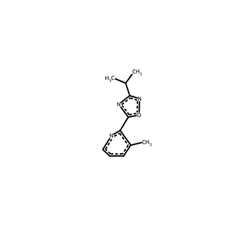 Cc1cccnc1-c1nc(C(C)C)no1